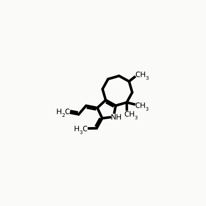 C=C/C=c1/c2c([nH]/c1=C/C)C(C)(C)CC(C)CCC2